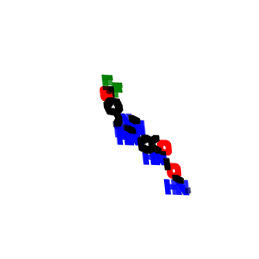 CNCCOCCNC(=O)c1ccc(Nc2nccn3c(-c4ccc(OC(F)F)cc4)cnc23)cc1C